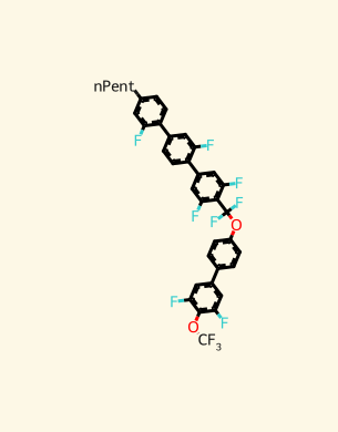 CCCCCc1ccc(-c2ccc(-c3cc(F)c(C(F)(F)Oc4ccc(-c5cc(F)c(OC(F)(F)F)c(F)c5)cc4)c(F)c3)c(F)c2)c(F)c1